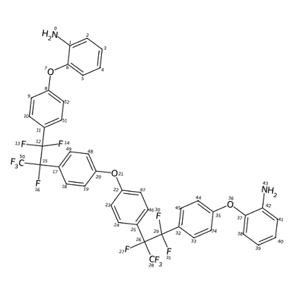 Nc1ccccc1Oc1ccc(C(F)(F)C(F)(c2ccc(Oc3ccc(C(F)(C(F)(F)F)C(F)(F)c4ccc(Oc5ccccc5N)cc4)cc3)cc2)C(F)(F)F)cc1